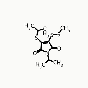 CSSC1=C(SC(C)C)C(=O)N(C(C)C)C1=O